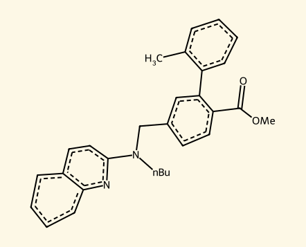 CCCCN(Cc1ccc(C(=O)OC)c(-c2ccccc2C)c1)c1ccc2ccccc2n1